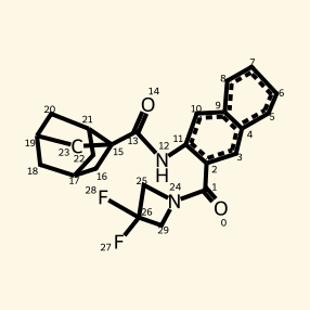 O=C(c1cc2ccccc2cc1NC(=O)C12CC3CC(CC1C3)C2)N1CC(F)(F)C1